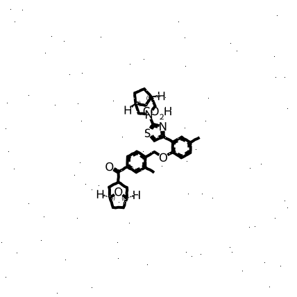 Cc1ccc(OCc2ccc(C(=O)C3C[C@H]4CC[C@@H](C3)O4)cc2C)c(-c2csc(N3C[C@H]4CC[C@@H](C3)C4C(=O)O)n2)c1